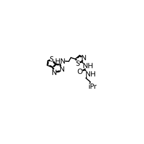 CC(C)CCNC(=O)Nc1ncc(CCNc2ncnc3ccsc23)s1